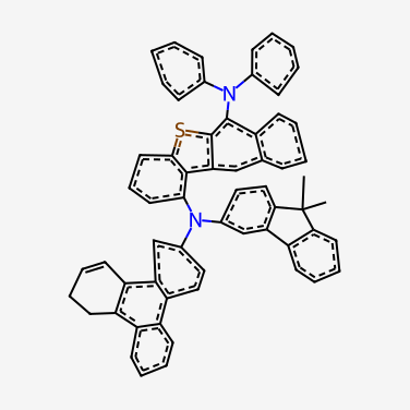 CC1(C)c2ccccc2-c2cc(N(c3ccc4c(c3)c3c(c5ccccc54)CCC=C3)c3cccc4sc5c(N(c6ccccc6)c6ccccc6)c6ccccc6cc5c34)ccc21